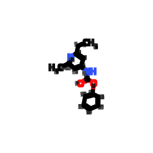 CCc1cc(NC(=O)Oc2ccccc2)cc(C)n1